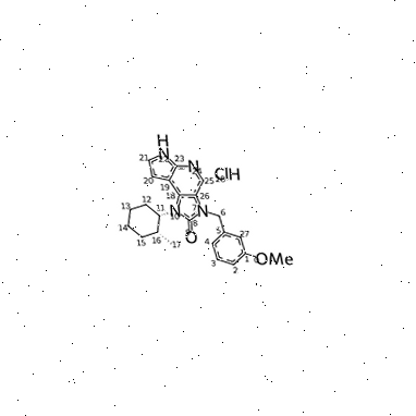 COc1cccc(Cn2c(=O)n([C@H]3CCCC[C@H]3C)c3c4cc[nH]c4ncc32)c1.Cl